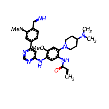 C=CC(=O)Nc1cc(Nc2cc(-c3ccc(C=N)c(NC)c3)ncn2)c(OC)cc1N1CCC(N(C)C)CC1